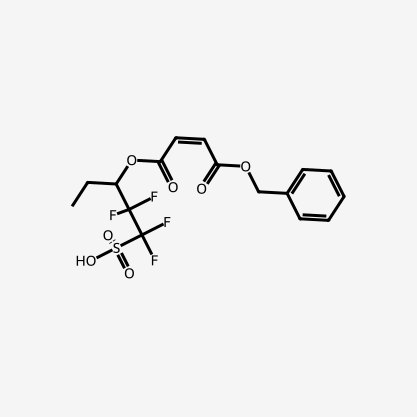 CCC(OC(=O)/C=C\C(=O)OCc1ccccc1)C(F)(F)C(F)(F)S(=O)(=O)O